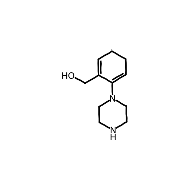 OCC1=C[CH]CC=C1N1CCNCC1